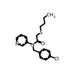 CCCCSCC(=O)N(Cc1ccc(Cl)cc1)c1cccnc1